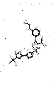 O=C(O)[C@@]1(NS(=O)(=O)c2ccc(-c3cc(C(F)(F)F)on3)s2)C[C@H]1c1cccc(CCO)c1